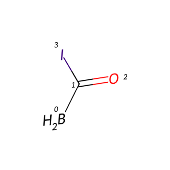 BC(=O)I